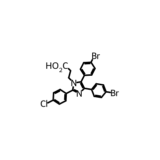 O=C(O)CCn1c(-c2ccc(Cl)cc2)nc(-c2ccc(Br)cc2)c1-c1ccc(Br)cc1